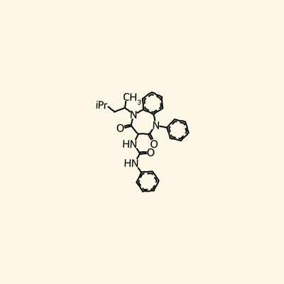 CC(C)CC(C)N1C(=O)C(NC(=O)Nc2ccccc2)C(=O)N(c2ccccc2)c2ccccc21